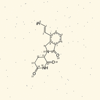 CC(C)C=Cc1cccc2c1CN(C1CCC(=O)NC1=O)C2=O